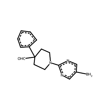 Bc1cnc(N2CCC(C=O)(c3ccccc3)CC2)nc1